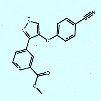 COC(=O)c1cccc(-c2n[nH]cc2Oc2ccc(C#N)cc2)c1